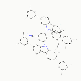 Cc1cc(C)cc(C2=C[C@@H]3/C=C\c4cc(C(F)(F)F)ccc4-c4c(cc(C#N)cc4-n4c5cc(-c6cc(C)cc(C)c6)ccc5c5ccc(-c6cc(C)cc(C)c6)cc54)-n4c3c(c3ccc(-c5cc(C)cc(C)c5)cc34)C=C2)c1